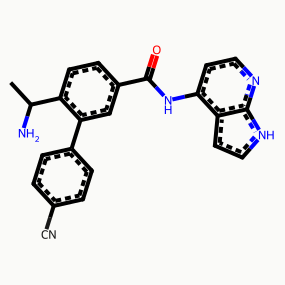 CC(N)c1ccc(C(=O)Nc2ccnc3[nH]ccc23)cc1-c1ccc(C#N)cc1